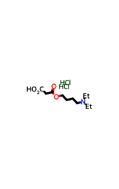 CCN(CC)CCCCOC(=O)CC(=O)O.Cl.Cl